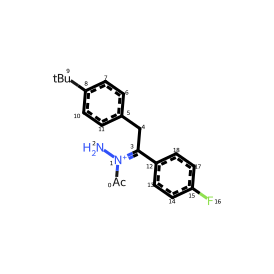 CC(=O)[N+](N)=C(Cc1ccc(C(C)(C)C)cc1)c1ccc(F)cc1